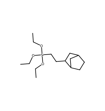 CCO[Si](CCC1CC2CCC1C2)(OCC)OCC